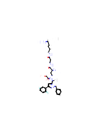 CC(C)(C)C(c1cc(-c2cc(F)ccc2F)cn1Cc1ccccc1)N(CCC(N)C(=O)NCCC(=O)NCCCCC(N)C(=O)O)C(=O)CO